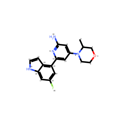 CC1COCCN1c1cc(N)nc(-c2cc(F)cc3[nH]ccc23)c1